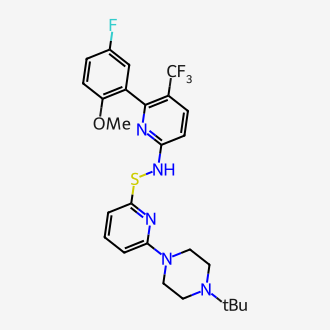 COc1ccc(F)cc1-c1nc(NSc2cccc(N3CCN(C(C)(C)C)CC3)n2)ccc1C(F)(F)F